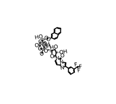 O=c1n([C@@H]2O[C@H](COP(=O)(O)OP(=O)(O)OP(=O)(O)OOc3ccc4ccccc4c3)C(O)[C@@H]2O)ccc2nc(-c3cccc(C(F)(F)F)c3)cn12